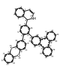 C1=Cc2ccccc2C(c2ccc(-c3ccc4c(c3)Sc3ccccc3O4)c(-c3ccc4c5ccccc5c5ccccc5c4c3)c2)N1